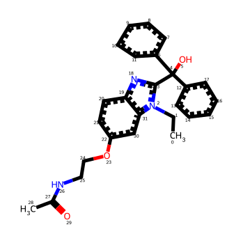 CCn1c(C(O)(c2ccccc2)c2ccccc2)nc2ccc(OCCNC(C)=O)cc21